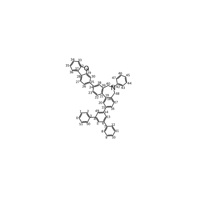 c1ccc(-c2cc(-c3ccccc3)cc(-c3ccc4c(c3)-c3ccc(-c5ccc6c(c5)oc5ccccc56)cc3CN(c3ccccc3)C4)c2)cc1